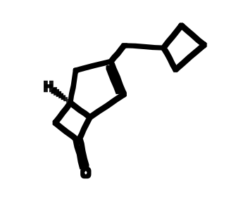 O=C1C[C@H]2CC(CC3CCC3)=CC12